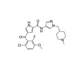 COc1ccc(Cl)c(C(=O)c2c[nH]c(C(=O)Nc3cnn(CC4CCN(C)CC4)c3)c2)c1F